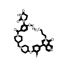 CCCCn1cc(-c2ccc(OC3CCN(CC4CCN(C(=O)c5ccc(OC)c(N6CCC(=O)NC6=O)c5)CC4)CC3)c(F)c2)c2ccncc2c1=O